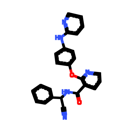 N#CC(NC(=O)c1cccnc1Oc1ccc(Nc2ccccn2)cc1)c1ccccc1